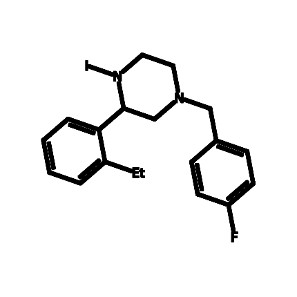 CCc1ccccc1C1CN(Cc2ccc(F)cc2)CCN1I